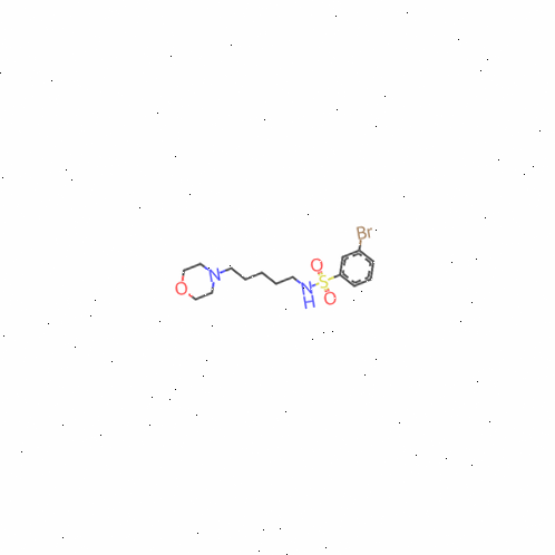 O=S(=O)(NCCCCCN1CCOCC1)c1cccc(Br)c1